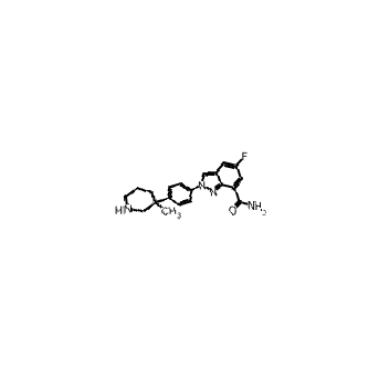 CC1(c2ccc(-n3cc4cc(F)cc(C(N)=O)c4n3)cc2)CCCNC1